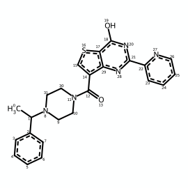 CC(c1ccccc1)N1CCN(C(=O)c2csc3c(O)nc(-c4ccccn4)nc23)CC1